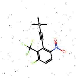 C[Si](C)(C)C#Cc1c([N+](=O)[O-])ccc(F)c1C(F)(F)F